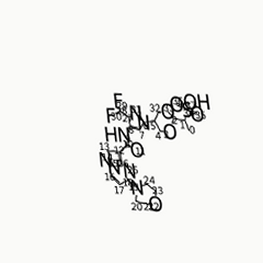 CC(C1OCC(n2cc(NC(=O)c3cnn4ccc(N5CCOCC5)nc34)c(C(F)F)n2)CO1)S(=O)(=O)O